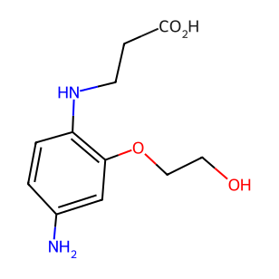 Nc1ccc(NCCC(=O)O)c(OCCO)c1